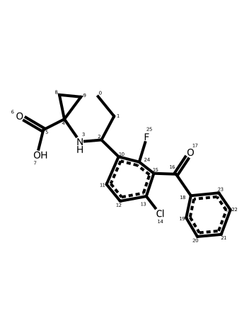 CCC(NC1(C(=O)O)CC1)c1ccc(Cl)c(C(=O)c2ccccc2)c1F